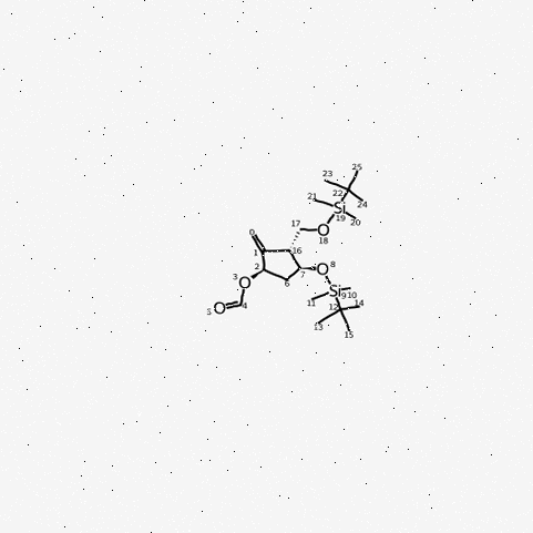 C=C1[C@H](OC=O)C[C@H](O[Si](C)(C)C(C)(C)C)[C@H]1CO[Si](C)(C)C(C)(C)C